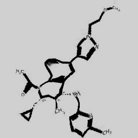 COCCn1cc(-c2ccc3c(c2)[C@H](Nc2cccc(C)n2)[C@@H](C)[C@H](C2CC2)N3C(C)=O)cn1